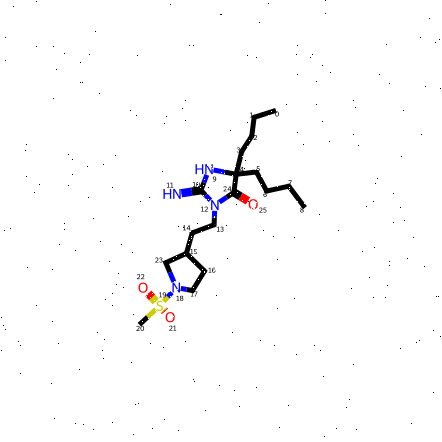 CCCCC1(CCCC)NC(=N)N(CCC2CCN(S(C)(=O)=O)C2)C1=O